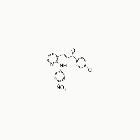 O=C(/C=C/c1cccnc1Nc1ccc([N+](=O)[O-])cc1)c1ccc(Cl)cc1